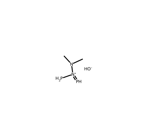 CN(C)[N+](=P)P.[OH-]